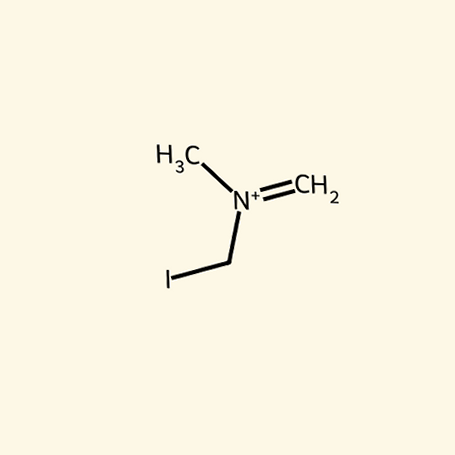 C=[N+](C)CI